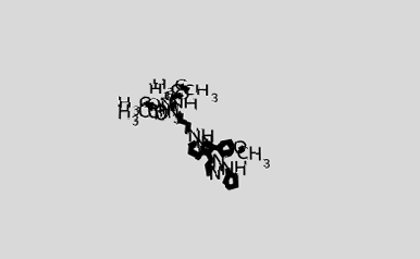 COc1ccc(-c2nn3c(NCCCCN/C(=N\C(=O)OC(C)(C)C)NC(=O)OC(C)(C)C)cccc3c2-c2ccnc(NC3CCCC3)n2)cc1